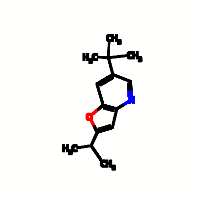 CC(C)c1cc2ncc(C(C)(C)C)cc2o1